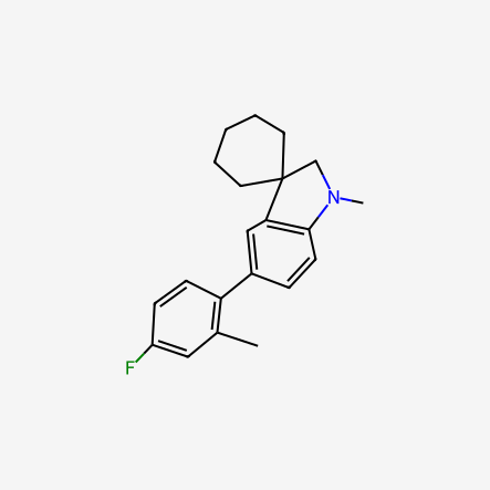 Cc1cc(F)ccc1-c1ccc2c(c1)C1(CCCCC1)CN2C